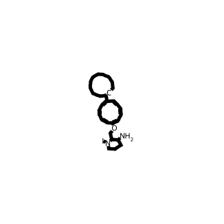 NC1CCCN(I)C1COC1=C/C=C\C=C/C(C2CCCCCCCCCCC2)=C\C=C/C=C\1